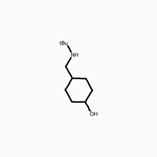 CC(C)(C)NCC1CCC(O)CC1